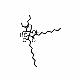 CCCCCCCCCC(=O)C(O)(C(=O)CCCCCCCCC)C(O)(CO)C(=O)C(CC)CCCC